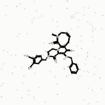 CN1C/C=C\Cc2c(n3c(c(OCc4ccccc4)c2=O)C(=O)N(Cc2ccc(F)c(Cl)c2)CC3)C1=O